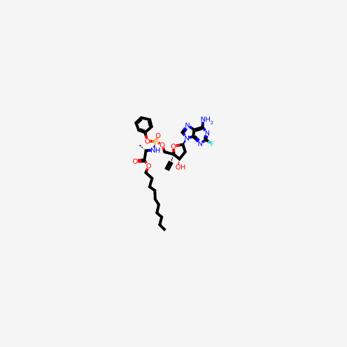 C#C[C@]1(CO[P@](=O)(N[C@@H](C)C(=O)OCCCCCCCCCC)Oc2ccccc2)O[C@@H](n2cnc3c(N)nc(F)nc32)C[C@@H]1O